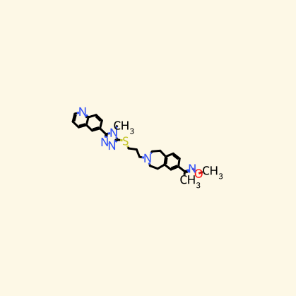 CON=C(C)c1ccc2c(c1)CCN(CCCSc1nnc(-c3ccc4ncccc4c3)n1C)CC2